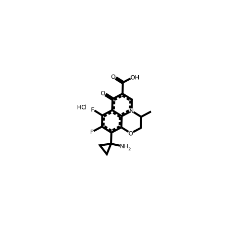 CC1COc2c(C3(N)CC3)c(F)c(F)c3c(=O)c(C(=O)O)cn1c23.Cl